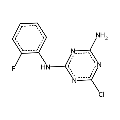 Nc1nc(Cl)nc(Nc2ccccc2F)n1